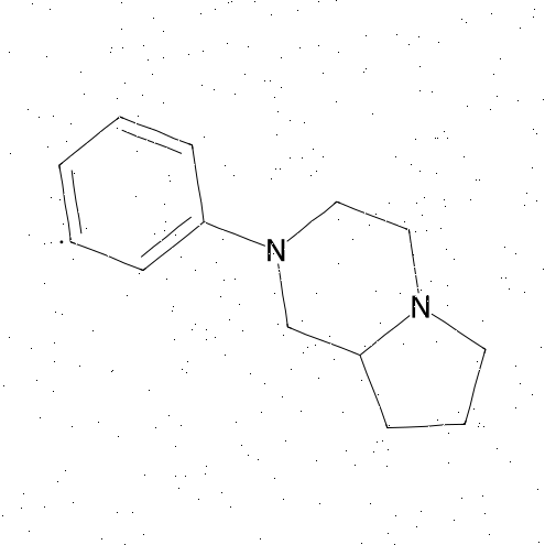 [c]1cccc(N2CCN3CCCC3C2)c1